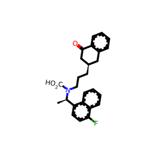 C[C@H](c1ccc(F)c2ccccc12)N(CCC[C@H]1CC(=O)c2ccccc2C1)C(=O)O